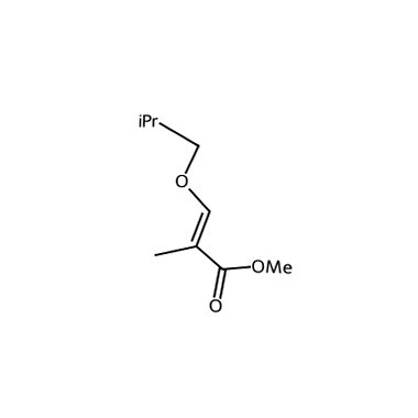 COC(=O)C(C)=COCC(C)C